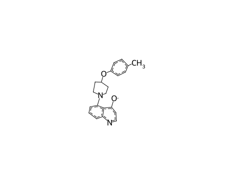 Cc1ccc(OC2CCN(c3cccc4nccc([O])c34)CC2)cc1